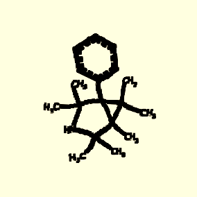 CC1(C)NC(C)(C)C2(c3ccccc3)C(C)(C)C12C